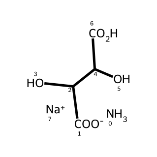 N.O=C([O-])C(O)C(O)C(=O)O.[Na+]